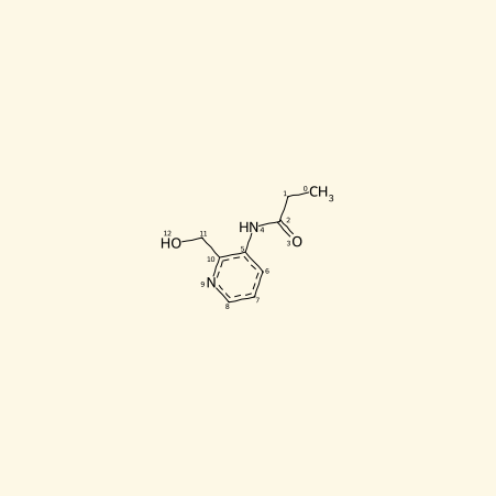 CCC(=O)Nc1cccnc1CO